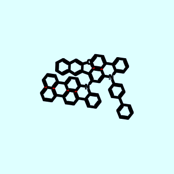 c1ccc(-c2ccc(-c3ccccc3N(c3ccc(-c4ccccc4)cc3)c3cc(N(c4ccc(-c5ccccc5)cc4)c4ccccc4-c4ccccc4)cc4oc5cc6ccccc6cc5c34)cc2)cc1